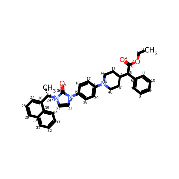 CCOC(=O)C(c1ccccc1)C1CCN(c2ccc(-n3ccn([C@@H](C)c4cccc5ccccc45)c3=O)cc2)CC1